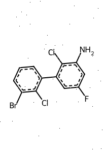 Nc1cc(F)cc(-c2cccc(Br)c2Cl)c1Cl